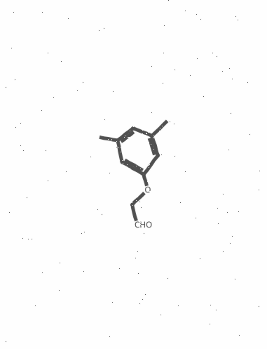 Cc1cc(C)cc(OCC=O)c1